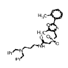 Cc1ccccc1-c1nc(CS(=O)(=O)CC(=O)NCCCN(CC(C)C)CC(C)C)c(C)o1